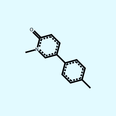 Cc1ccc(-c2ccc(=O)n(C)c2)cc1